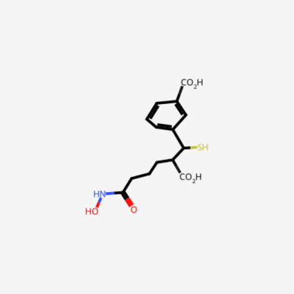 O=C(CCCC(C(=O)O)C(S)c1cccc(C(=O)O)c1)NO